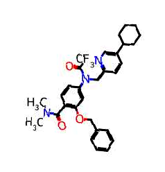 CN(C)C(=O)c1ccc(N(Cc2ccc(C3CCCCC3)cn2)C(=O)C(F)(F)F)cc1OCc1ccccc1